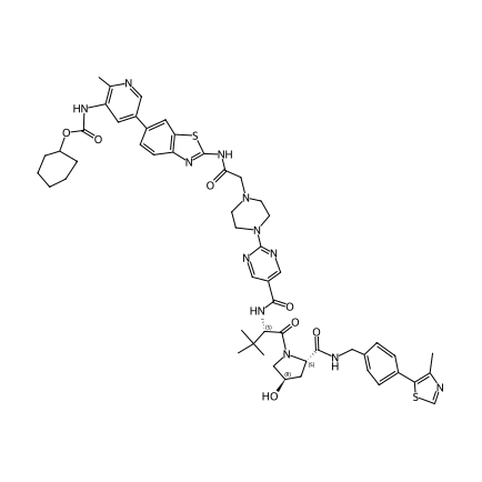 Cc1ncc(-c2ccc3nc(NC(=O)CN4CCN(c5ncc(C(=O)N[C@H](C(=O)N6C[C@H](O)C[C@H]6C(=O)NCc6ccc(-c7scnc7C)cc6)C(C)(C)C)cn5)CC4)sc3c2)cc1NC(=O)OC1CCCCC1